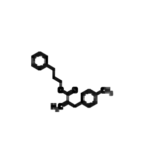 C=C(Cc1ccc(C)cc1)C(=O)OCCCc1ccccc1